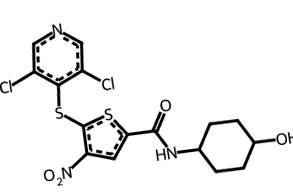 O=C(NC1CCC(O)CC1)c1cc([N+](=O)[O-])c(Sc2c(Cl)cncc2Cl)s1